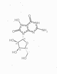 Nc1nc2c(c(=O)[nH]1)n(O)c(=O)n2[C@@H]1O[C@H](CO)[C@@H](O)[C@H]1O